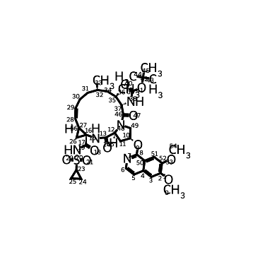 COc1cc2ccnc(O[C@@H]3C[C@H]4C(=O)N[C@]5(C(=O)NS(=O)(=O)C6CC6)C[C@H]5/C=C\CC[C@@H](C)C[C@@H](C)[C@H](NC(=O)OC(C)(C)C)C(=O)N4C3)c2cc1OC